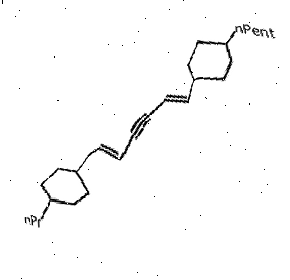 CCCCCC1CCC(C=CC#CC=CC2CCC(CCC)CC2)CC1